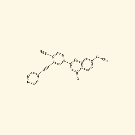 COc1ccc2c(=O)cc(-c3ccc(C#N)c(C#Cc4ccncc4)c3)oc2c1